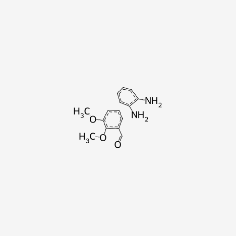 COc1cccc(C=O)c1OC.Nc1ccccc1N